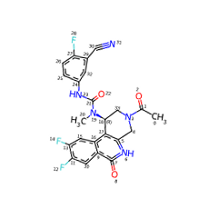 CC(=O)N1Cc2[nH]c(=O)c3cc(F)c(F)cc3c2[C@@H](N(C)C(=O)Nc2ccc(F)c(C#N)c2)C1